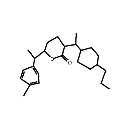 CCCC1CCC(C(C)C2CCC(C(C)c3ccc(C)cc3)OC2=O)CC1